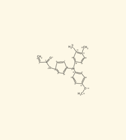 C=CC(=O)Oc1ccc(N(c2ccc(OC)cc2)c2ccc(C)c(C)c2)cc1